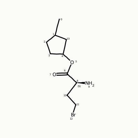 CC1CCC(OC(=O)[C@@H](N)CCBr)C1